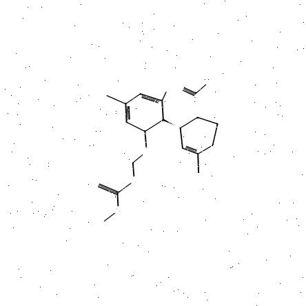 C=C(C)[C@@H]1CCC(C)=C[C@H]1C1C(O)=CC(CCCCC)=CC1OCNC(=O)NO